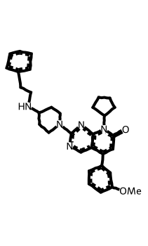 COc1cccc(-c2cc(=O)n(C3CCCC3)c3nc(N4CCC(NCCc5ccccc5)CC4)ncc23)c1